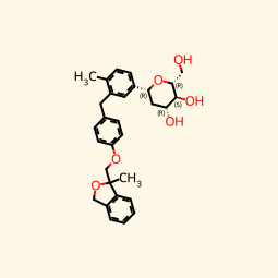 Cc1ccc([C@H]2C[C@@H](O)[C@H](O)[C@@H](CO)O2)cc1Cc1ccc(OCC2(C)OCc3ccccc32)cc1